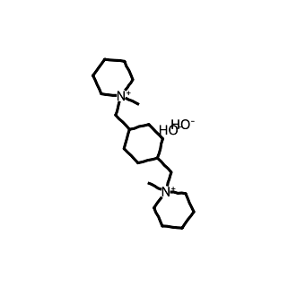 C[N+]1(CC2CCC(C[N+]3(C)CCCCC3)CC2)CCCCC1.[OH-].[OH-]